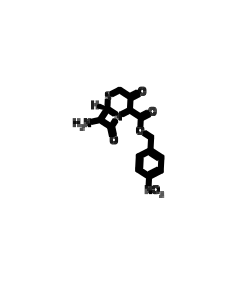 NC1C(=O)N2C(C(=O)OCc3ccc([N+](=O)[O-])cc3)C(=O)CS[C@@H]12